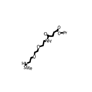 CSNCCOCCOCCNC(=O)CCC(=O)OC(C)C